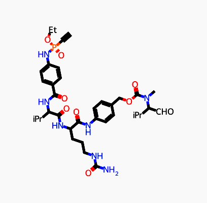 C#CP(=O)(Nc1ccc(C(=O)NC(C(=O)NC(CCCNC(N)=O)C(=O)Nc2ccc(COC(=O)N(C)C(C=O)C(C)C)cc2)C(C)C)cc1)OCC